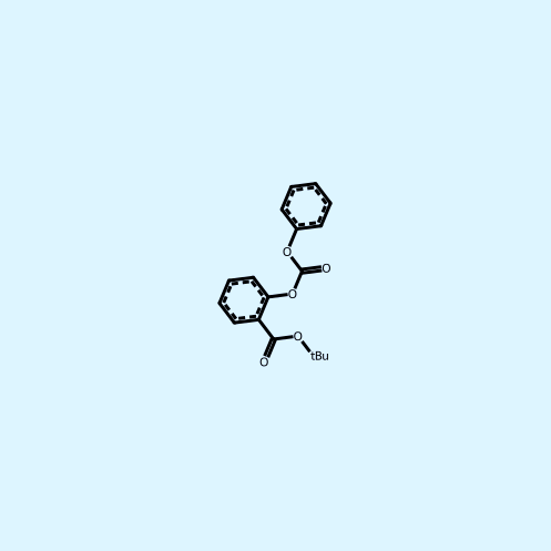 CC(C)(C)OC(=O)c1ccccc1OC(=O)Oc1ccccc1